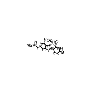 CCCCNCc1ccc2c(c1)CN(C1CCC(=O)NC1=O)C2=O.O=CO